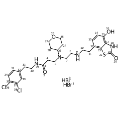 Br.Br.O=C(CCN(CCNCCc1ccc(O)c2[nH]c(=O)sc12)C1CCOCC1)NCCc1ccc(Cl)c(Cl)c1